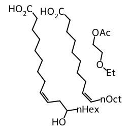 CCCCCCC(O)C/C=C\CCCCCCCC(=O)O.CCCCCCCC/C=C\CCCCCCCC(=O)O.CCOCCOC(C)=O